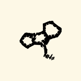 Nn1c2ccccc2n2cccc12